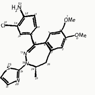 COc1cc2c(cc1OC)C(c1ccc(N)c(Cl)c1)=NN(c1nccs1)[C@H](C)C2